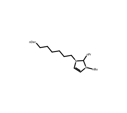 CCCCCCCCCCCCCCCCN1C=CN(CCCC)C1CCC